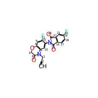 C#CCN1C(=O)COc2cc(F)c(N3C(=O)c4ccc(F)cc4C3=O)cc21